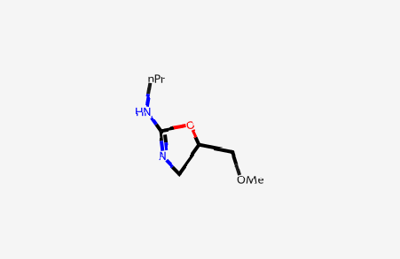 CCCNC1=NCC(COC)O1